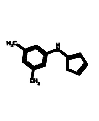 Cc1cc(C)cc(NC2=CC=CC2)c1